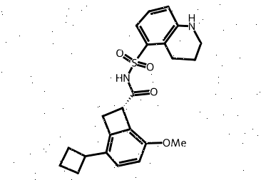 COc1ccc(C2CCC2)c2c1[C@@H](C(=O)NS(=O)(=O)c1cccc3c1CCCN3)C2